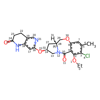 CCOc1c(Cl)c(C)cc2c1C(=O)N1C[C@@H](Oc3cc4c(cn3)CCC(=O)N4)C[C@@H]1CO2